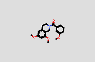 COC1=CC(C(=O)N2CCc3cc(OC)cc(OC)c3C2)=CCC1